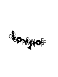 CCOC(=O)C(C)(C)Oc1ccc(CCC(=O)Nc2cnc(-c3ccc(C(F)(F)F)cc3)nc2C2CC2)cc1C